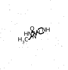 CCc1nn(N2CCNCC2)c(=O)[nH]1